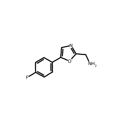 NCc1ncc(-c2ccc(F)cc2)o1